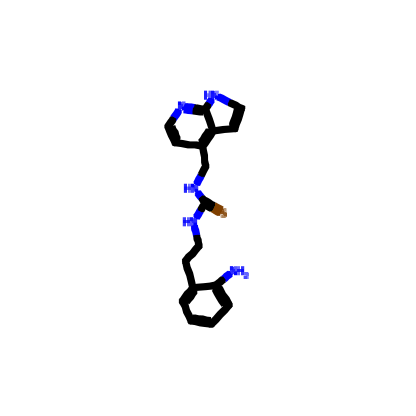 Nc1ccccc1CCNC(=S)NCc1ccnc2[nH]ccc12